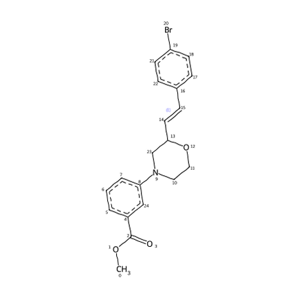 COC(=O)c1cccc(N2CCOC(/C=C/c3ccc(Br)cc3)C2)c1